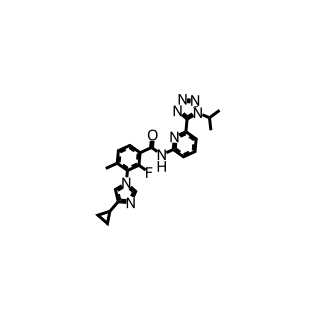 Cc1ccc(C(=O)Nc2cccc(-c3nnnn3C(C)C)n2)c(F)c1-n1cnc(C2CC2)c1